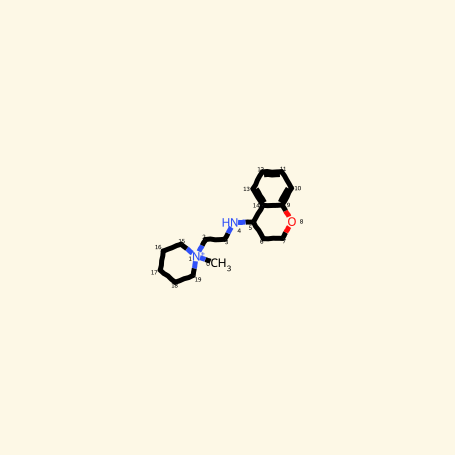 C[N+]1(CCNC2CCOc3ccccc32)CCCCC1